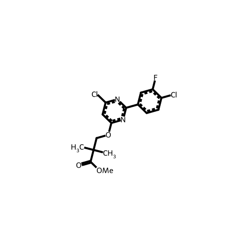 COC(=O)C(C)(C)COc1cc(Cl)nc(-c2ccc(Cl)c(F)c2)n1